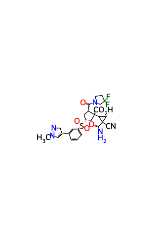 Cn1cc(-c2cccc(S(=O)(=O)[C@@H]3C[C@@H](C(=O)N4CCC(F)(F)C4)[C@](C(=O)O)(C4CC4(C#N)C(N)=O)C3)c2)cn1